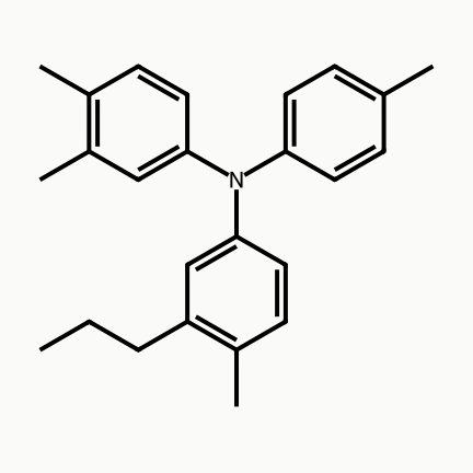 CCCc1cc(N(c2ccc(C)cc2)c2ccc(C)c(C)c2)ccc1C